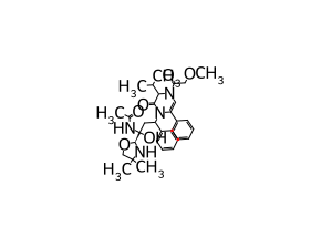 COCC(=O)N1C=C(c2ccccc2)N(C(CC(O)(NC(C)=O)[C@H]2NC(C)(C)CO2)c2ccccc2)C(=O)C1C(C)C